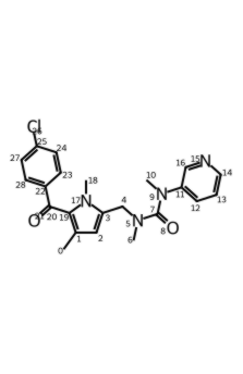 Cc1cc(CN(C)C(=O)N(C)c2cccnc2)n(C)c1C(=O)c1ccc(Cl)cc1